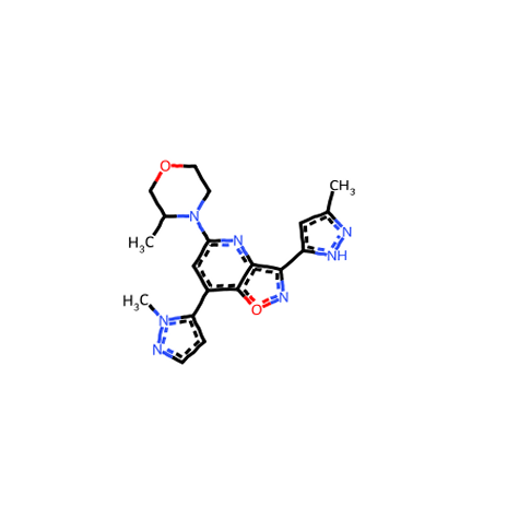 Cc1cc(-c2noc3c(-c4ccnn4C)cc(N4CCOCC4C)nc23)[nH]n1